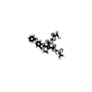 CCCN(Cc1ccc(Oc2ccccc2)cc1)C(=O)C1CC(C(=O)OCOC(=O)C(C)C)C1C(=O)OCOC(=O)C(C)C